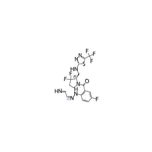 N=C/C=N\Nc1ccc(F)cc1C(=O)N1CCC(F)(F)[C@H]1CNc1nnc(C(F)(F)F)s1